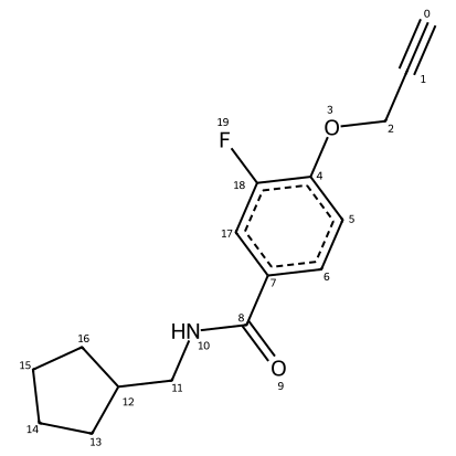 C#CCOc1ccc(C(=O)NCC2CCCC2)cc1F